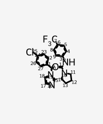 O=C(Nc1ccc(C(F)(F)F)cc1)N1CCC[C@@H]1c1nccn1Cc1ccc(Cl)cc1